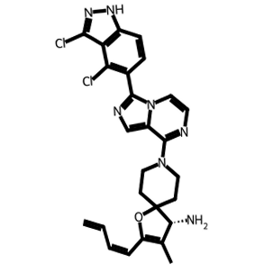 C=C/C=C\C1=C(C)[C@@H](N)C2(CCN(c3nccn4c(-c5ccc6[nH]nc(Cl)c6c5Cl)ncc34)CC2)O1